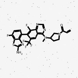 C=CC(=O)N1CCC(N(C)c2ncnc3c(F)c(-c4ccc(F)c5sc(N)nc45)c(C(F)(F)F)cc23)C1